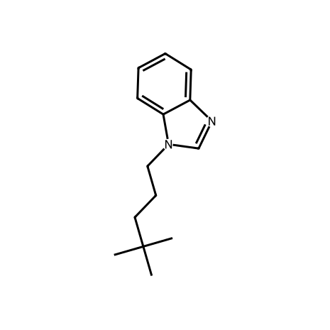 CC(C)(C)CCCn1cnc2ccccc21